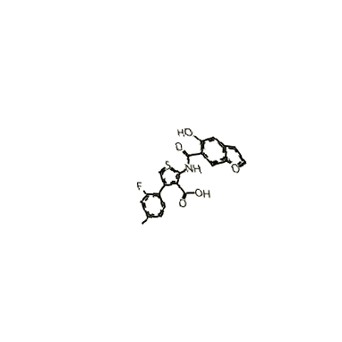 Cc1ccc(-c2csc(NC(=O)c3cc4occc4cc3O)c2C(=O)O)c(F)c1